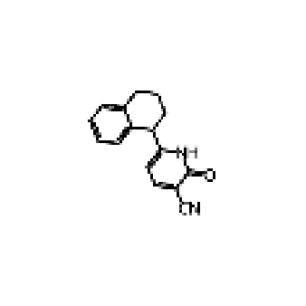 N#Cc1ccc(C2CCCc3ccccc32)[nH]c1=O